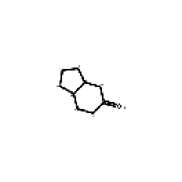 O=C1CCC2CCCC2C1